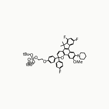 COc1cc2c3c(c4c(c2cc1N1CCCCC1)-c1cc(F)cc(F)c1C4(C)C)C=CC(c1ccc(F)cc1)(c1ccc(OCCO[Si](OC(C)(C)C)(OC(C)(C)C)OC(C)(C)C)cc1)O3